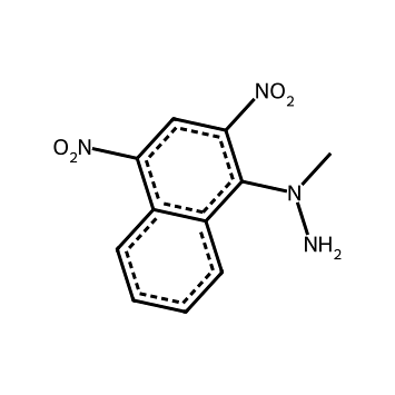 CN(N)c1c([N+](=O)[O-])cc([N+](=O)[O-])c2ccccc12